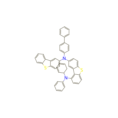 C1=CCC(N(c2ccccc2)c2cccc3sc4ccc(N(c5ccc(-c6ccccc6)cc5)c5ccc6sc7ccccc7c6c5)cc4c23)C=C1